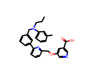 CCCN(Cc1cccc(-c2cccc(COc3cncc(C(=O)O)c3)n2)c1)c1cccc(C)c1